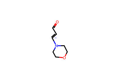 O=C/C=C/N1CCOCC1